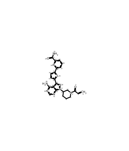 C=CC(=O)N1CCCC(n2nc(-c3ccc(-c4cccc(C(N)=O)n4)s3)c3c(N)ncnc32)C1